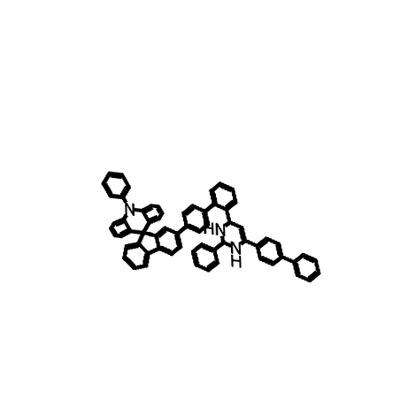 C1=C(c2ccc(-c3ccccc3)cc2)NC(c2ccccc2)NC1c1ccccc1-c1ccc(-c2ccc3c(c2)C2(c4ccccc4-3)c3ccccc3N(c3ccccc3)c3ccccc32)cc1